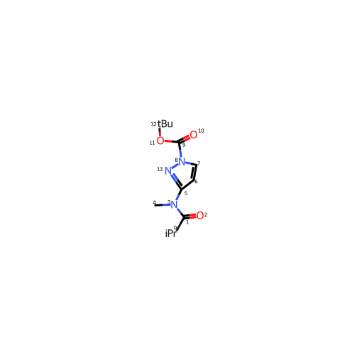 CC(C)C(=O)N(C)c1ccn(C(=O)OC(C)(C)C)n1